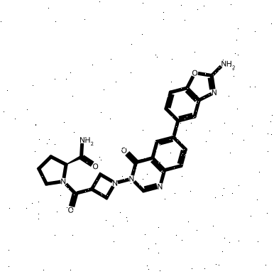 NC(=O)[C@@H]1CCCN1C(=O)C1CN(n2cnc3ccc(-c4ccc5oc(N)nc5c4)cc3c2=O)C1